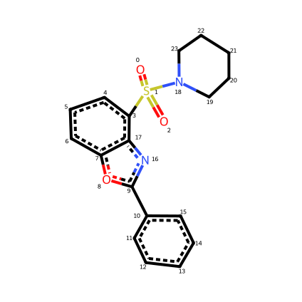 O=S(=O)(c1cccc2oc(-c3ccccc3)nc12)N1CCCCC1